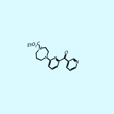 CCOC(=O)N1CCCN(c2cccc(C(=O)c3cccnc3)n2)CC1